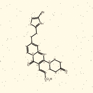 CC(C)c1csc(CCc2ccn3c(=O)c(C=CC(=O)O)c(N4CCC(=O)CC4)nc3c2)n1